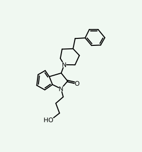 O=C1C(N2CCC(Cc3ccccc3)CC2)c2ccccc2N1CCCO